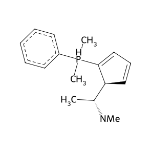 CN[C@H](C)[C@@H]1C=CC=C1[PH](C)(C)c1ccccc1